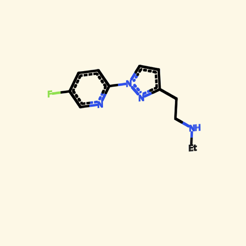 CCNCCc1ccn(-c2ccc(F)cn2)n1